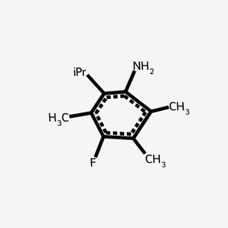 Cc1c(C)c(F)c(C)c(C(C)C)c1N